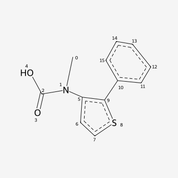 CN(C(=O)O)c1ccsc1-c1ccccc1